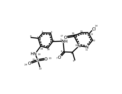 Cc1ccc(NC(=O)C(C)n2ncc(Cl)cc2=O)cc1NS(C)(=O)=O